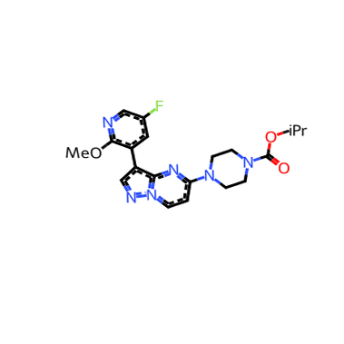 COc1ncc(F)cc1-c1cnn2ccc(N3CCN(C(=O)OC(C)C)CC3)nc12